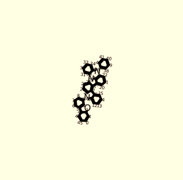 C1=CC2Oc3c(cccc3-n3c4ccccc4c4c5c6cccc7c6n(c5ccc43)-c3ccccc3N7c3ccccc3)C2C=C1